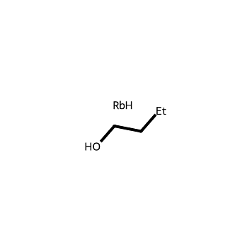 CCCCO.[RbH]